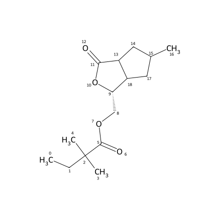 CCC(C)(C)C(=O)OC[C@@H]1OC(=O)C2CC(C)CC21